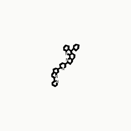 c1ccc(-c2c3ccccc3nc3c2ccc2ccc(-c4ccc(-c5ccc6ccc(-c7ccccn7)nc6c5)nc4)nc23)cc1